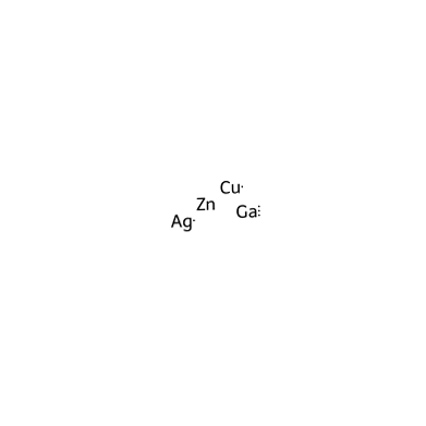 [Ag].[Cu].[Ga].[Zn]